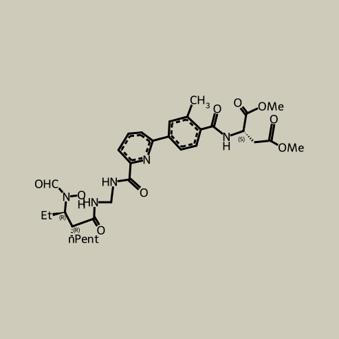 CCCCC[C@@H](C(=O)NCNC(=O)c1cccc(-c2ccc(C(=O)N[C@@H](CC(=O)OC)C(=O)OC)c(C)c2)n1)[C@@H](CC)N(O)C=O